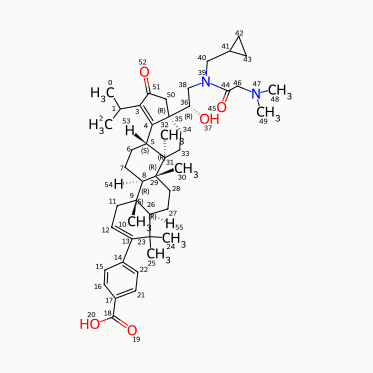 CC(C)C1=C2[C@H]3CC[C@@H]4[C@@]5(C)CC=C(c6ccc(C(=O)O)cc6)C(C)(C)[C@@H]5CC[C@@]4(C)[C@]3(C)CC[C@@]2([C@@H](O)CN(CC2CC2)C(=O)CN(C)C)CC1=O